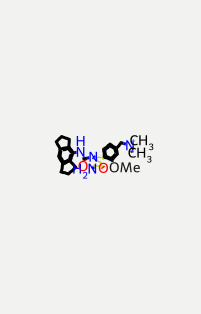 COc1cc(CN(C)C)ccc1S(N)(=O)=NC(=O)Nc1c2c(cc3c1CCC3)CCC2